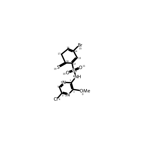 COc1nc(Cl)cnc1NS(=O)(=O)C1=CC(Br)=CCC1=S